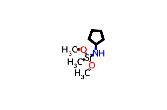 CO[Si](C)(NC1CCCC1)OC